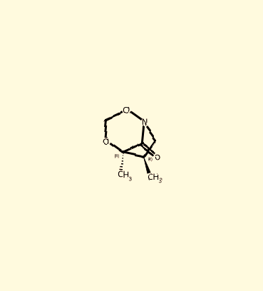 C[C@@H]1CN2OCO[C@@]1(C)C2=O